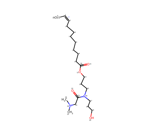 CCCCCCCC/C=C\CCCCCCCC(=O)OCCCN(CCCO)C(=O)CN(C)C